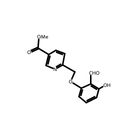 COC(=O)c1ccc(COc2cccc(O)c2C=O)nc1